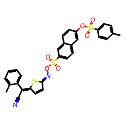 Cc1ccc(S(=O)(=O)Oc2ccc3cc(S(=O)(=O)ON=C4C=CC(=C(C#N)c5ccccc5C)S4)ccc3c2)cc1